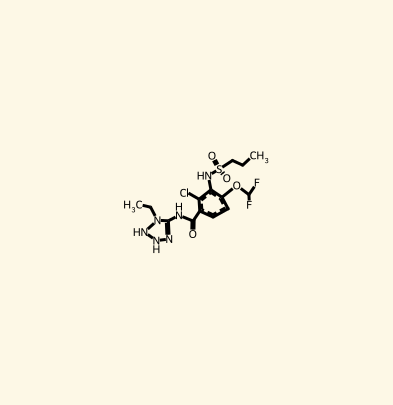 CCCS(=O)(=O)Nc1c(OC(F)F)ccc(C(=O)NC2=NNNN2CC)c1Cl